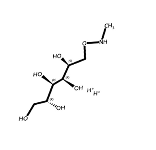 CNOC[C@H](O)[C@@H](O)[C@H](O)[C@H](O)CO.[H+].[H+]